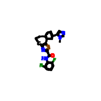 Cn1cncc1-c1ccc2c(c1)-c1sc(C(=O)Nc3c(F)cccc3F)nc1CCC2